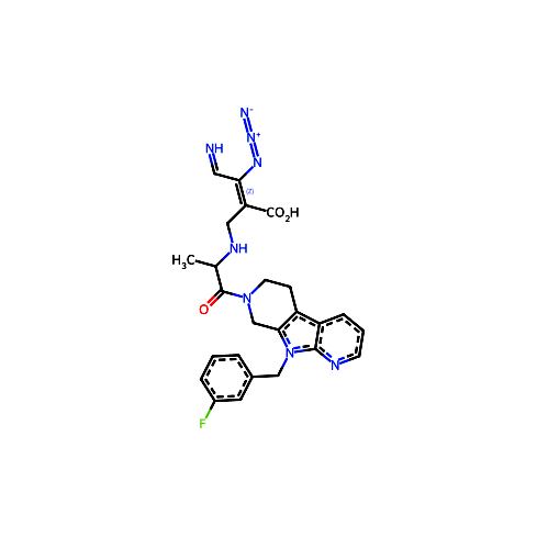 CC(NC/C(C(=O)O)=C(\C=N)N=[N+]=[N-])C(=O)N1CCc2c(n(Cc3cccc(F)c3)c3ncccc23)C1